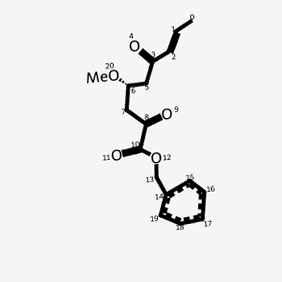 C/C=C/C(=O)C[C@H](CC(=O)C(=O)OCc1ccccc1)OC